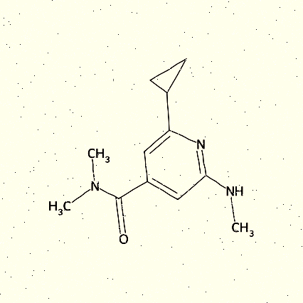 CNc1cc(C(=O)N(C)C)cc(C2CC2)n1